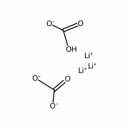 O=C([O-])O.O=C([O-])[O-].[Li+].[Li+].[Li+]